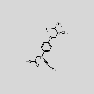 CC#C[C@@H](CC(=O)O)c1ccc(OC[C@@H](C)C(C)C)cc1